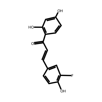 O=C(C=Cc1ccc(O)c(F)c1)c1ccc(O)cc1O